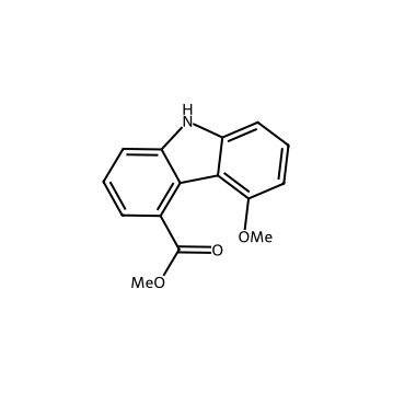 COC(=O)c1cccc2[nH]c3cccc(OC)c3c12